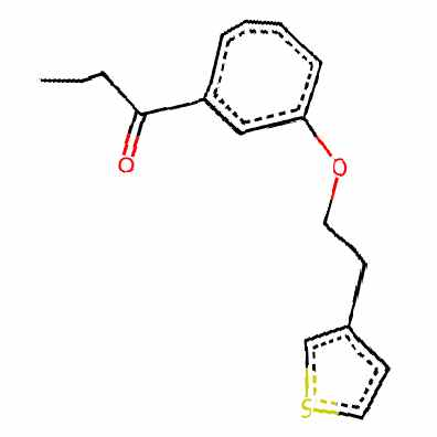 CCC(=O)c1cccc(OCCc2ccsc2)c1